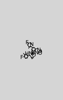 Cc1cc([C@@H](NC(=O)c2cc(Cn3ccoc3=N)cc(-c3ncc(F)cc3C)c2)C2CC2)ccc1F